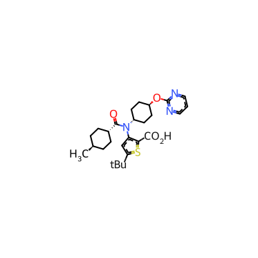 CC(C)(C)c1cc(N(C(=O)[C@H]2CC[C@H](C)CC2)[C@H]2CC[C@H](Oc3ncccn3)CC2)c(C(=O)O)s1